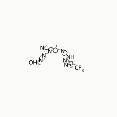 Cc1c(CN2CCC(Nc3ncnc4sc(CC(F)(F)F)cc34)CC2)ccc2c1cc(C#N)n2C[C@@H](C)N1CCN(C=O)CC1